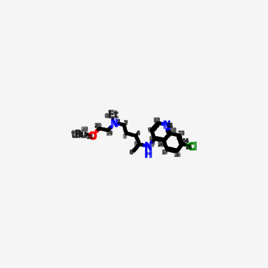 CCN(CCCC(C)Nc1ccnc2cc(Cl)ccc12)CCOC(C)(C)C